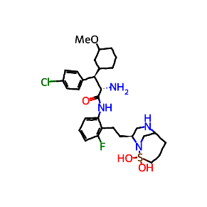 COC1CCCC([C@H](c2ccc(Cl)cc2)[C@H](N)C(=O)Nc2cccc(F)c2CC[C@H]2CNC3CCCS(O)(O)N2C3)C1